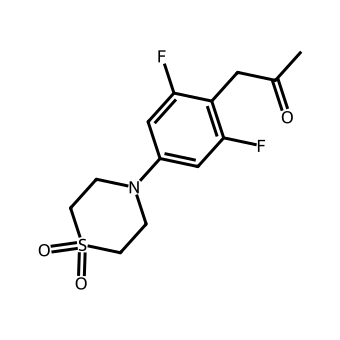 CC(=O)Cc1c(F)cc(N2CCS(=O)(=O)CC2)cc1F